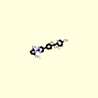 Cc1ccc(C)n1-c1ncc(-c2ccc(C(C)(c3ccc(C#N)cn3)C(C)C)cc2)cn1